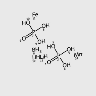 B.O=P(O)(O)O.O=P(O)(O)O.[Fe].[LiH].[LiH].[Mn]